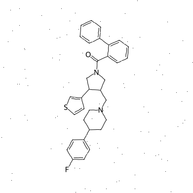 O=C(c1ccccc1-c1ccccc1)N1CC(CN2CCC(c3ccc(F)cc3)CC2)C(c2ccsc2)C1